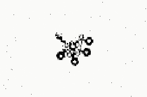 CC(=O)CCCCO[C@H]1OC(COC(=O)c2ccccc2)[C@H](OC(=O)c2ccccc2)[C@@H](OC(=O)c2ccccc2)C1OC(=O)c1ccccc1